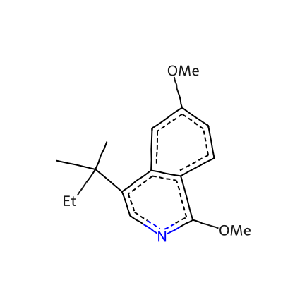 CCC(C)(C)c1cnc(OC)c2ccc(OC)cc12